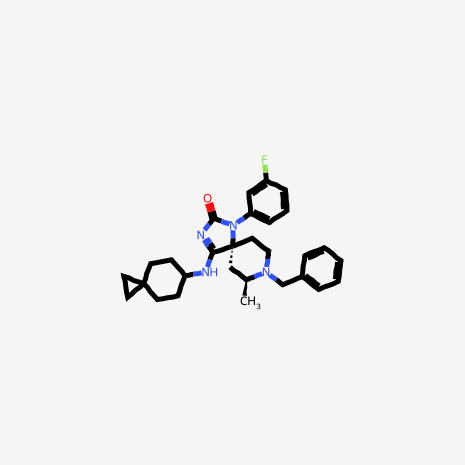 C[C@H]1C[C@]2(CCN1Cc1ccccc1)C(NC1CCC3(CC1)CC3)=NC(=O)N2c1cccc(F)c1